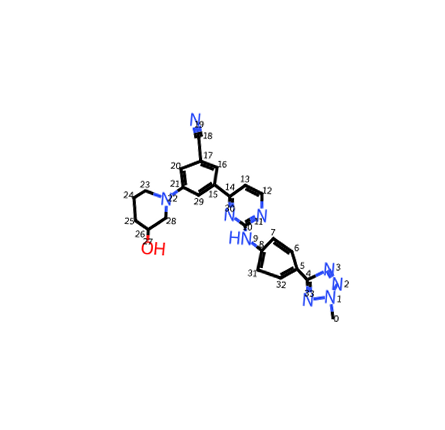 Cn1nnc(-c2ccc(Nc3nccc(-c4cc(C#N)cc(N5CCCC(O)C5)c4)n3)cc2)n1